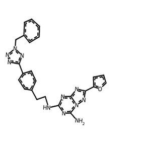 Nc1nc(NCCc2ccc(-c3nnn(Cc4ccccc4)n3)cc2)nc2nc(-c3ccco3)nn12